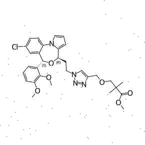 COC(=O)C(C)(C)COCc1cn(CC[C@H]2O[C@H](c3cccc(OC)c3OC)c3cc(Cl)ccc3-n3cccc32)nn1